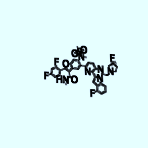 CNC(=O)c1c(-c2ccc(F)cc2F)oc2cc(N(C)S(C)(=O)=O)c(-c3ccc4nc(CN5CC[C@@H](F)C5)n5c6cccc(F)c6cc5c4n3)cc12